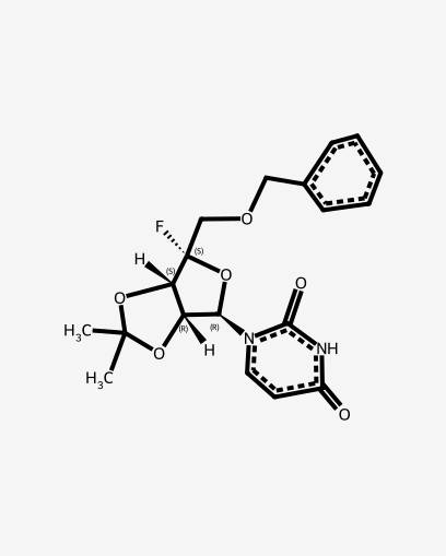 CC1(C)O[C@H]2[C@H](n3ccc(=O)[nH]c3=O)O[C@](F)(COCc3ccccc3)[C@H]2O1